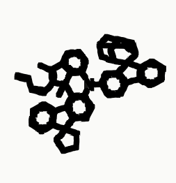 C=C/C=C\C1=C(C)c2cccc3c2C1(C)c1c(ccc2c1-c1ccccc1C21CCCC1)N3c1ccc2c(c1)C1(c3ccccc3-2)C2CC3CC(C2)CC1C3